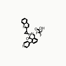 O=C(O)C(F)(F)F.O=c1c2c(-c3ccncc3)cccc2cnn1C1CC1c1ccc2ccccc2n1